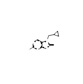 Nc1ncc2c(n1)[nH]c(=O)n2CC1CC1